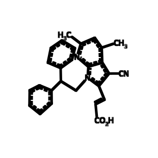 Cc1cc(C)c2c(C#N)c(C=CC(=O)O)n(CC(c3ccccc3)c3ccccc3)c2n1